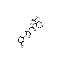 O=C(Cc1csc(-c2cccc(Cl)c2)n1)NC1(C(=O)O)CCSCC1